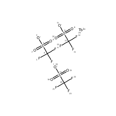 O=S(=O)([O-])C(F)(F)F.O=S(=O)([O-])C(F)(F)F.O=S(=O)([O-])C(F)(F)F.[Tb+3]